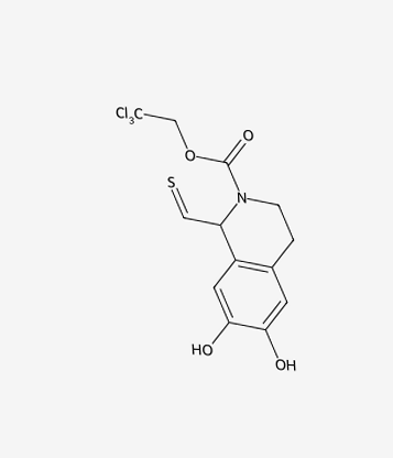 O=C(OCC(Cl)(Cl)Cl)N1CCc2cc(O)c(O)cc2C1C=S